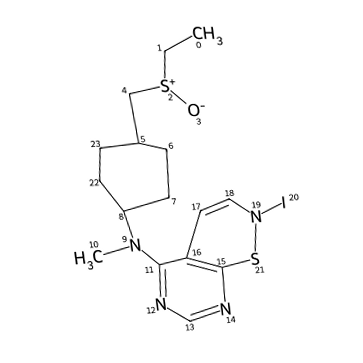 CC[S+]([O-])CC1CCC(N(C)c2ncnc3c2C=CN(I)S3)CC1